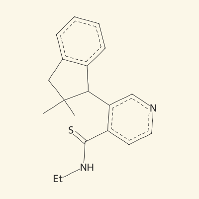 CCNC(=S)c1ccncc1C1c2ccccc2CC1(C)C